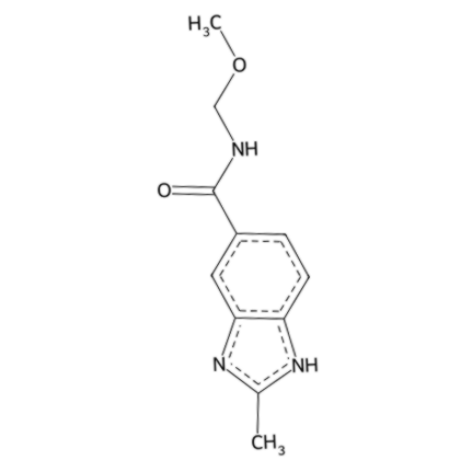 COCNC(=O)c1ccc2[nH]c(C)nc2c1